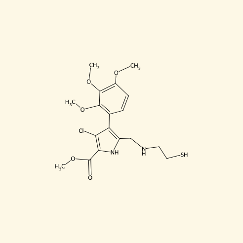 COC(=O)c1[nH]c(CNCCS)c(-c2ccc(OC)c(OC)c2OC)c1Cl